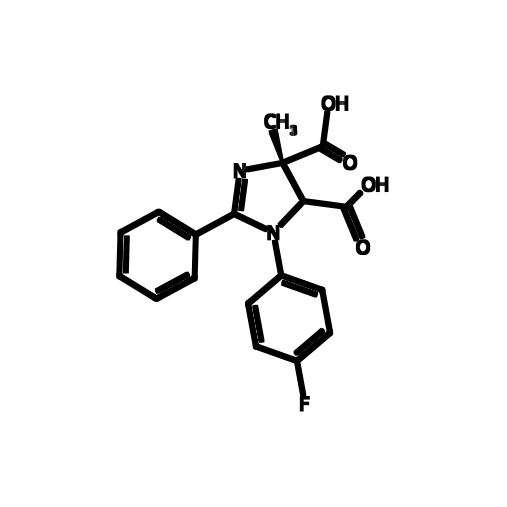 C[C@]1(C(=O)O)N=C(c2ccccc2)N(c2ccc(F)cc2)C1C(=O)O